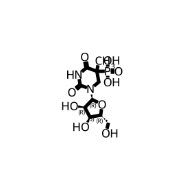 CC1(P(=O)(O)O)CN([C@@H]2O[C@H](CO)[C@@H](O)[C@H]2O)C(=O)NC1=O